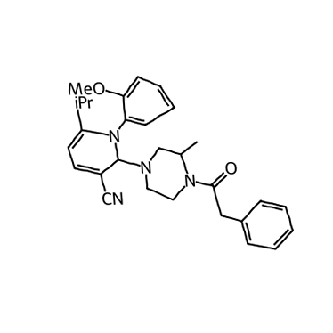 COc1ccccc1N1C(C(C)C)=CC=C(C#N)C1N1CCN(C(=O)Cc2ccccc2)C(C)C1